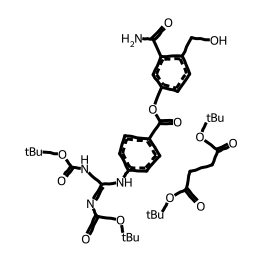 CC(C)(C)OC(=O)CCC(=O)OC(C)(C)C.CC(C)(C)OC(=O)N=C(NC(=O)OC(C)(C)C)Nc1ccc(C(=O)Oc2ccc(CO)c(C(N)=O)c2)cc1